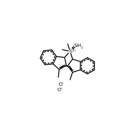 CC1=C(C)[CH]([Ti+2]([CH3])([CH3])(=[SiH2])[CH]2C(C)=C(C)c3ccccc32)c2ccccc21.[Cl-].[Cl-]